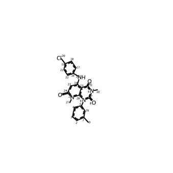 Cc1cccc(-n2c(=O)n(C)c(=O)c3c(Nc4ccc(Cl)cc4)cc(=O)n(C)c32)c1